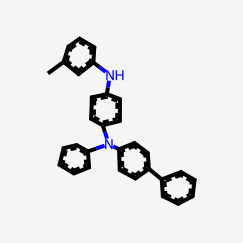 Cc1cccc(Nc2ccc(N(c3ccccc3)c3ccc(-c4ccccc4)cc3)cc2)c1